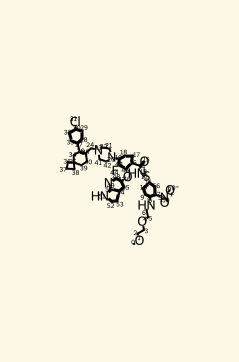 COCCOCCNc1ccc(SNC(=O)c2ccc(N3CCN(CC4=C(c5ccc(Cl)cc5)CC5(CCC5)CC4)CC3)c(F)c2Oc2cnc3[nH]ccc3c2)cc1[N+](=O)[O-]